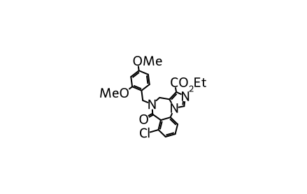 CCOC(=O)c1ncn2c1CN(Cc1ccc(OC)cc1OC)C(=O)c1c(Cl)cccc1-2